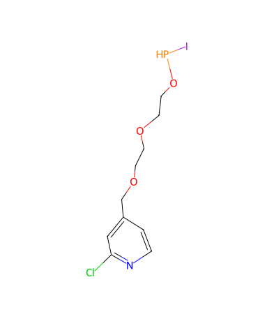 Clc1cc(COCCOCCOPI)ccn1